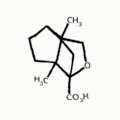 CC12COC3(C(=O)O)CC1CCC32C